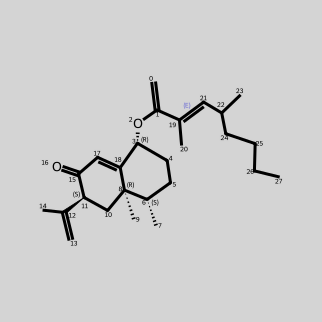 C=C(O[C@@H]1CC[C@H](C)[C@@]2(C)C[C@@H](C(=C)C)C(=O)C=C12)/C(C)=C/C(C)CCCC